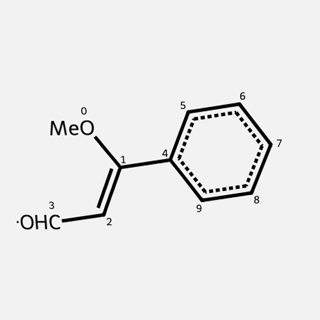 COC(=C[C]=O)c1ccccc1